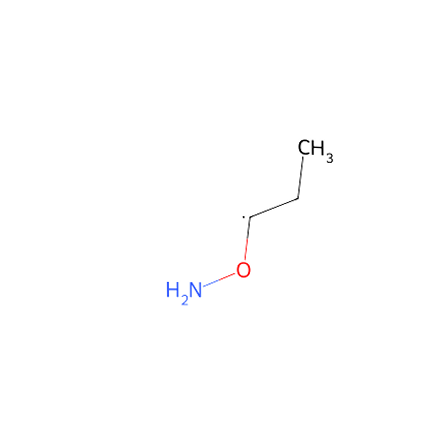 CC[CH]ON